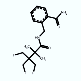 CC(C)(C(=O)NCc1ccccc1C(N)=O)C(CF)(CF)CF